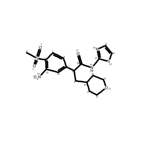 CS(=O)(=O)c1ccc(C(CC2CCOCC2)C(=O)Nc2nccs2)cc1[N+](=O)[O-]